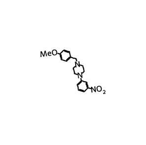 COc1ccc(CN2CCN(c3cccc([N+](=O)[O-])c3)CC2)cc1